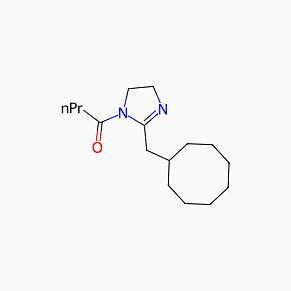 CCCC(=O)N1CCN=C1CC1CCCCCCC1